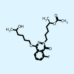 CC(=O)O[C@H](C)CCCCn1nc(OCCCCC(C)O)c2cccc(F)c2c1=O